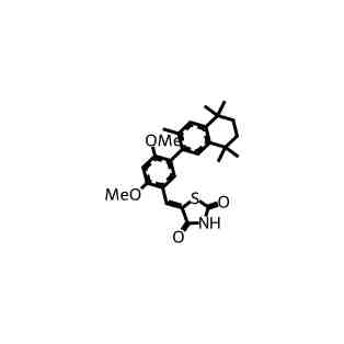 COc1cc(OC)c(-c2cc3c(cc2C)C(C)(C)CCC3(C)C)cc1C=C1SC(=O)NC1=O